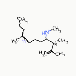 C=C(C)[C@@H](C)C(CC/C=C(/C)CCC)NC